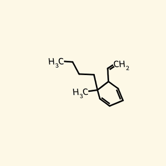 C=CC1C=CC=CC1(C)CCCC